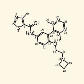 Cc1ncsc1C(=O)Nc1ccc(OCCN2CCC2)c(-c2c(C)ncnc2C)c1